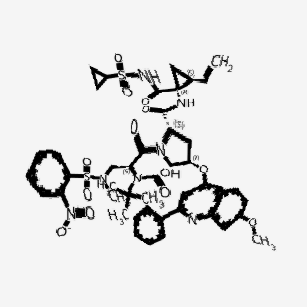 C=C[C@@H]1C[C@]1(NC(=O)[C@@H]1C[C@@H](Oc2cc(-c3ccccc3)nc3cc(OC)ccc23)CN1C(=O)[C@H](CN(C)S(=O)(=O)c1ccccc1[N+](=O)[O-])N(C(=O)O)C(C)(C)C)C(=O)NS(=O)(=O)C1CC1